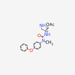 CC(=O)OC[C@H](CN)NC(=O)N(C)c1ccc(Oc2ccccc2)cc1